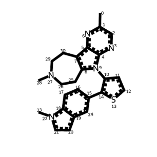 Cc1cnc2c(n1)c1c(n2-c2ccsc2-c2ccc3c(ccn3C)c2)CCN(C)CC1